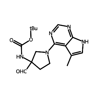 Cc1c[nH]c2ncnc(N3CCC(C=O)(NC(=O)OC(C)(C)C)C3)c12